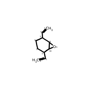 C=CC1CCC(C=C)C2OC12